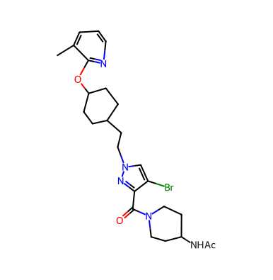 CC(=O)NC1CCN(C(=O)c2nn(CCC3CCC(Oc4ncccc4C)CC3)cc2Br)CC1